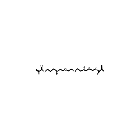 C=C(C)C(=O)OCCCNCCOCCOCCNCSCOC(=O)C(=C)C